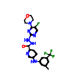 Cc1cc(Nc2ccc(C(=O)NNc3ncc(F)c(N4CCOCC4)n3)nc2)cc(C(F)(F)F)c1